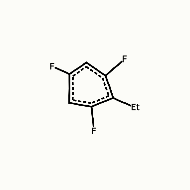 CCc1c(F)cc(F)cc1F